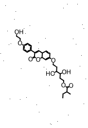 CCC(C)C(=O)OCCC(O)C(O)CCOC1=CC2OC(=O)C(c3ccc(OCCO)cc3)=CC2C=C1